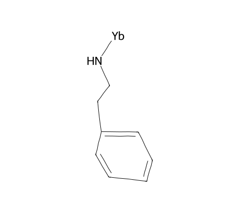 [Yb][NH]CCc1ccccc1